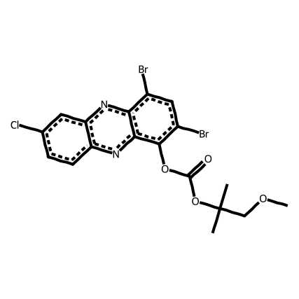 COCC(C)(C)OC(=O)Oc1c(Br)cc(Br)c2nc3cc(Cl)ccc3nc12